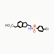 CCc1ccc(S(=O)(=O)NCC2Cc3ccc(CC(=O)O)cc3C2)cc1